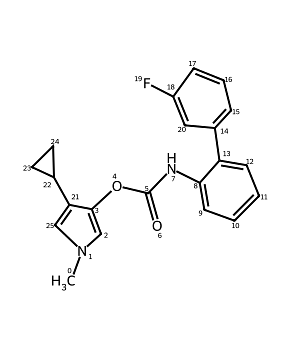 Cn1cc(OC(=O)Nc2ccccc2-c2cccc(F)c2)c(C2CC2)c1